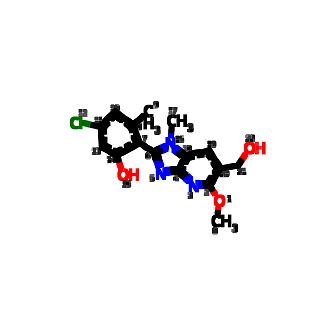 COc1nc2nc(-c3c(C)cc(Cl)cc3O)n(C)c2cc1CO